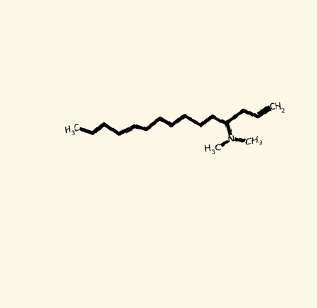 C=CCC(CCCCCCCCCCC)N(C)C